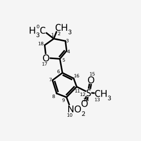 CC1(C)CC=C(c2ccc([N+](=O)[O-])c(S(C)(=O)=O)c2)OC1